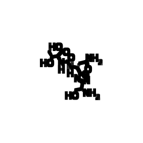 C[C@H](O)C(NC(=O)N[C@H](CC(N)=O)c1nc([C@H](N)CO)no1)C(=O)O